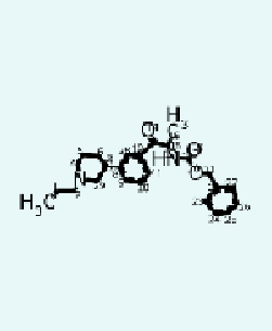 CCCN1CCC[C@@H](c2cccc(C(=O)C(C)NC(=O)OCc3ccccc3)c2)C1